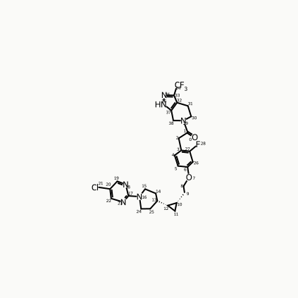 O=C(Cc1ccc(OCC[C@@H]2C[C@@H]2C2CCN(c3ncc(Cl)cn3)CC2)cc1F)N1CCc2c(C(F)(F)F)n[nH]c2C1